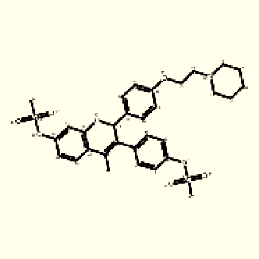 CC1=C(c2ccc(OS(C)(=O)=O)cc2)C(c2ccc(OCCN3CCCCC3)cc2)Oc2cc(OS(C)(=O)=O)ccc21